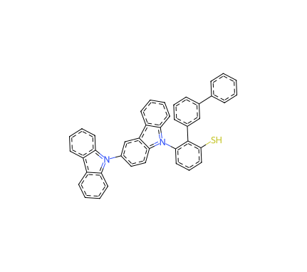 Sc1cccc(-n2c3ccccc3c3cc(-n4c5ccccc5c5ccccc54)ccc32)c1-c1cccc(-c2ccccc2)c1